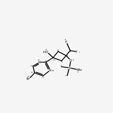 CC(C)(C)[Si](C)(C)OC1(C(F)F)CC(O)(c2ncc(Br)cn2)C1